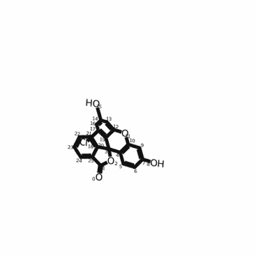 O=C1OC2(c3ccc(O)cc3Oc3cc(O)cc(Cl)c32)c2ccccc21